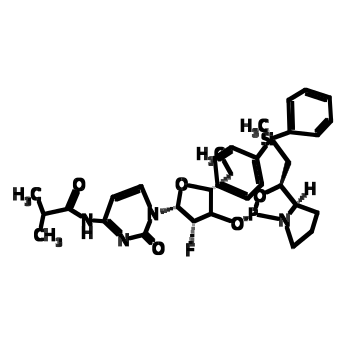 CC[C@H]1O[C@@H](n2ccc(NC(=O)C(C)C)nc2=O)[C@@H](F)C1O[P@]1O[C@@H](C[Si](C)(c2ccccc2)c2ccccc2)[C@H]2CCCN21